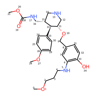 COCCCNc1cc(CO[C@H]2CNC[C@@H](CNC(=O)OC)[C@@H]2c2ccc(OC)cc2)ccc1O